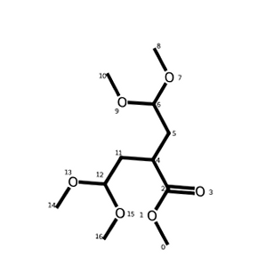 COC(=O)C(CC(OC)OC)CC(OC)OC